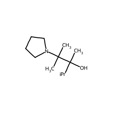 CC(C)C(C)(O)C(C)(C)N1CCCC1